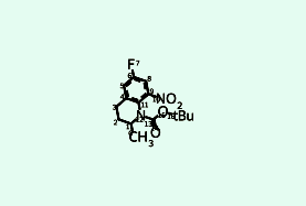 CC1CCc2cc(F)cc([N+](=O)[O-])c2N1C(=O)OC(C)(C)C